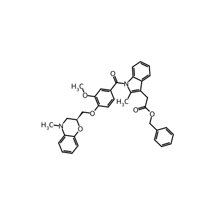 COc1cc(C(=O)n2c(C)c(CC(=O)OCc3ccccc3)c3ccccc32)ccc1OC[C@@H]1CN(C)c2ccccc2O1